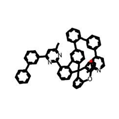 Cc1cc(-c2cccc(-c3ccccc3-c3ccc4c(c3)-c3c(-c5nc(C)cc(-c6cccc(-c7ccccc7)c6)n5)cccc3C43c4ccccc4Oc4ccccc43)c2)ccn1